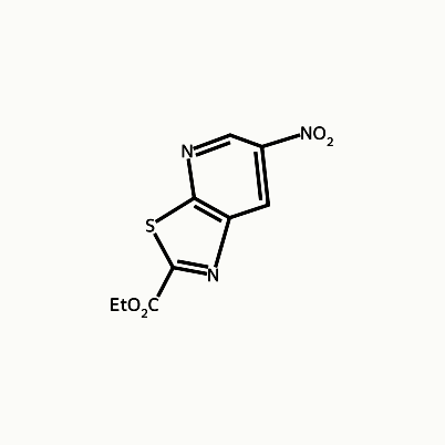 CCOC(=O)c1nc2cc([N+](=O)[O-])cnc2s1